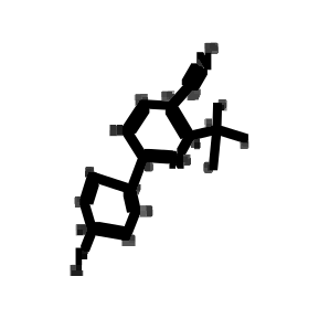 CC(C)(C)c1nc(-c2ccc(F)cc2)ccc1C#N